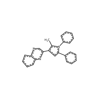 Cc1c(-c2cnc3ccccc3n2)cc(-c2ccccc2)n1-c1ccccc1